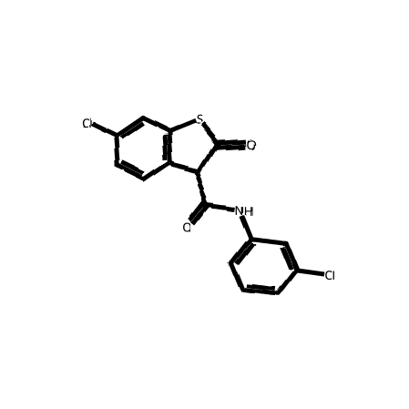 O=C(Nc1cccc(Cl)c1)C1C(=O)Sc2cc(Cl)ccc21